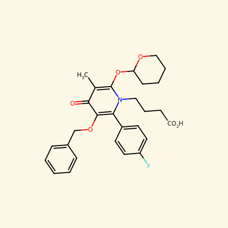 Cc1c(OC2CCCCO2)n(CCCC(=O)O)c(-c2ccc(F)cc2)c(OCc2ccccc2)c1=O